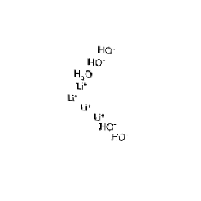 O.[Li+].[Li+].[Li+].[Li+].[OH-].[OH-].[OH-].[OH-]